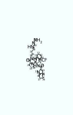 Cl.Cn1c(C(=O)NC(Cc2ccccc2)C(=O)N2CCC[C@H]2C(=O)NCCCCNC=NN)cc2ccccc21